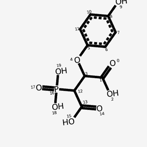 O=C(O)C(Oc1ccc(O)cc1)C(C(=O)O)P(=O)(O)O